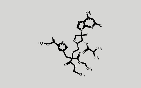 CCOC(=O)C(Cc1csc(C(=O)OC)c1)(OC[C@H]1OCC(F)(n2cnc3c(N)nc(Cl)nc32)[C@@H]1OC(=O)C(C)C)C(=O)OCC